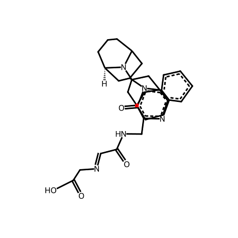 O=C(O)C/N=C/C(=O)NCc1nc2ccccc2n(C2CC3CCC[C@H](C2)N3C2CC3CCCC(C3)C2)c1=O